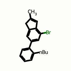 CCCCc1ccccc1-c1cc(Br)c2c(c1)CC(C)=C2